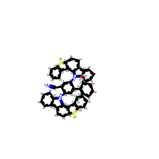 N#Cc1cc(-n2c3ccccc3c3ccc4sc5ccccc5c4c32)c(-c2c(F)cccc2F)cc1-n1c2ccccc2c2ccc3sc4ccccc4c3c21